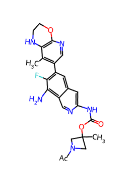 CC(=O)N1CC(C)(OC(=O)Nc2cc3cc(-c4cnc5c(c4C)NCCO5)c(F)c(N)c3cn2)C1